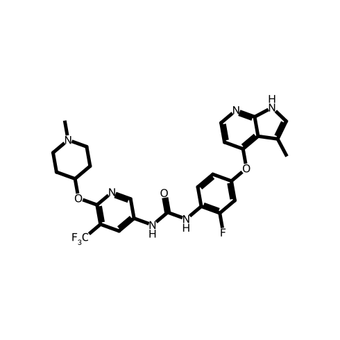 Cc1c[nH]c2nccc(Oc3ccc(NC(=O)Nc4cnc(OC5CCN(C)CC5)c(C(F)(F)F)c4)c(F)c3)c12